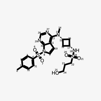 Cc1ccc(S(=O)(=O)n2ccc3c(N(C)[C@H]4C[C@@H](NS(=O)(=O)CCCO)C4)ncnc32)cc1